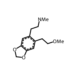 CNCCc1cc2c(cc1CCOC)OCO2